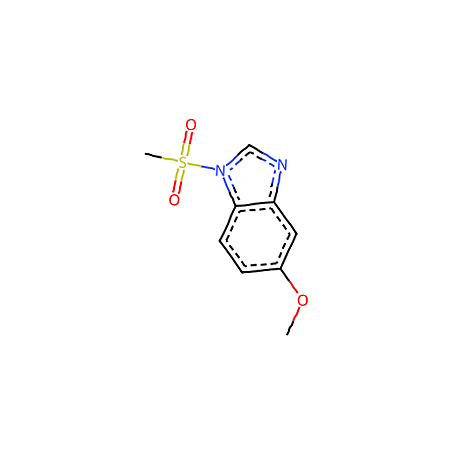 COc1ccc2c(c1)ncn2S(C)(=O)=O